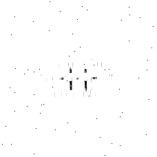 CCC[CH2][Sn]([CH2]CCC)([O]C(C)=O)[Sn]([CH2]CCC)([CH2]CCC)[O]C(C)=O